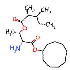 CC[C@H](C)[C@H](C)C(=O)O[C@@H](C)[C@@H](N)C(=O)OC1CCCCCCCC1